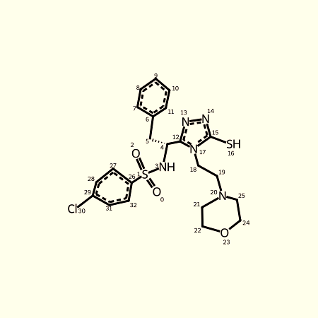 O=S(=O)(N[C@H](Cc1ccccc1)c1nnc(S)n1CCN1CCOCC1)c1ccc(Cl)cc1